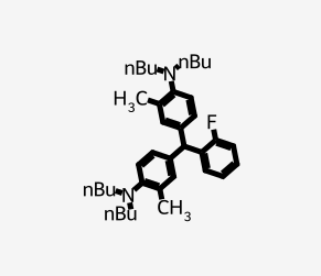 CCCCN(CCCC)c1ccc(C(c2ccc(N(CCCC)CCCC)c(C)c2)c2ccccc2F)cc1C